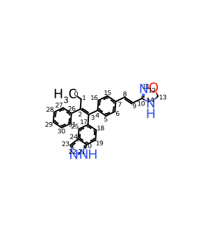 CCC(=C(c1ccc(C=CC2=NOCN2)cc1)c1ccc2[nH]ncc2c1)c1ccccc1